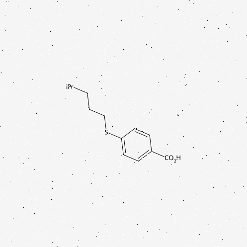 CC(C)CCCSc1ccc(C(=O)O)cc1